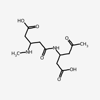 CNC(CC(=O)O)CC(=O)NC(CC(C)=O)CC(=O)O